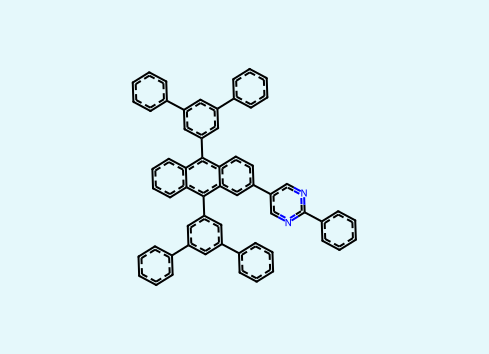 c1ccc(-c2cc(-c3ccccc3)cc(-c3c4ccccc4c(-c4cc(-c5ccccc5)cc(-c5ccccc5)c4)c4cc(-c5cnc(-c6ccccc6)nc5)ccc34)c2)cc1